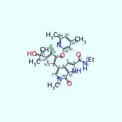 CCNC(=O)c1cc2c(-c3sc(C(C)(C)O)c(F)c3Oc3cc(C)cc(C)n3)cn(C)c(=O)c2[nH]1